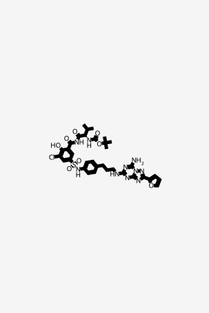 CC(C)[C@H](NC(=O)OC(C)(C)C)C(=O)NC(=O)c1cc(S(=O)(=O)Nc2ccc(CCCNc3nc(N)n4nc(-c5ccco5)nc4n3)cc2)cc(Cl)c1O